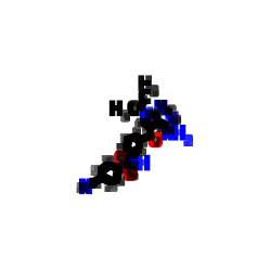 CC(C)n1cc(C(=O)c2cccc(NS(=O)(=O)c3ccc(C#N)cc3)c2)c2c(N)ncnc21